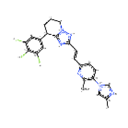 COc1nc(/C=C/c2nc3n(n2)CCCC3c2cc(F)c(F)c(F)c2)ccc1-n1cnc(C)c1